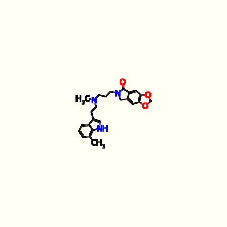 Cc1cccc2c(CCN(C)CCCN3Cc4cc5c(cc4C3=O)OCO5)c[nH]c12